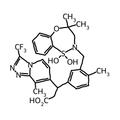 Cc1ccc(C(CC(=O)O)c2ccn3c(C(F)(F)F)nnc3c2C)cc1CN1CC(C)(C)Oc2ccccc2S1(O)O